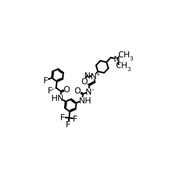 CN(C)CC1CCC([n+]2cc([N-]C(=O)Nc3cc(NC(=O)[C@H](F)c4ccccc4F)cc(C(F)(F)F)c3)on2)CC1